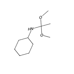 COC(C)(NC1CCCCC1)OC